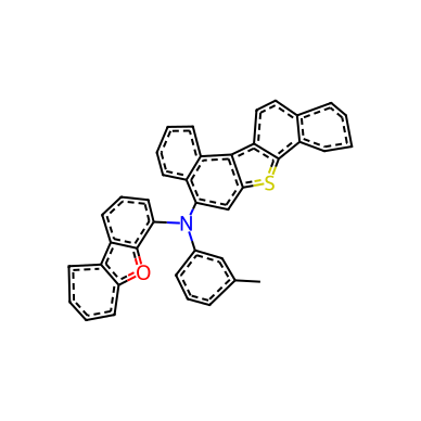 Cc1cccc(N(c2cc3sc4c5ccccc5ccc4c3c3ccccc23)c2cccc3c2oc2ccccc23)c1